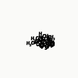 CCOC(=O)C1=C(C)NC(C)=C(C(=O)OCC)C1c1cccc(-c2nc(-c3ccccc3S(N)(=O)=O)cs2)c1